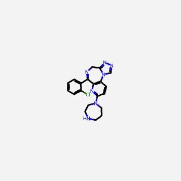 Clc1ccccc1C1=NCc2nncn2-c2ccc(N3CCCNCC3)nc21